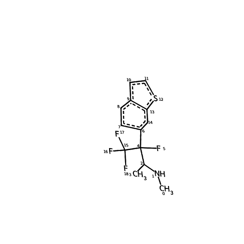 CNC(C)C(F)(c1ccc2ccsc2c1)C(F)(F)F